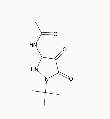 CC(=O)NC1NN(C(C)(C)C)C(=O)C1=O